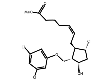 COC(=O)CCC/C=C\C[C@@H]1[C@@H](COc2cc(Cl)cc(Cl)c2)[C@H](O)C[C@H]1Cl